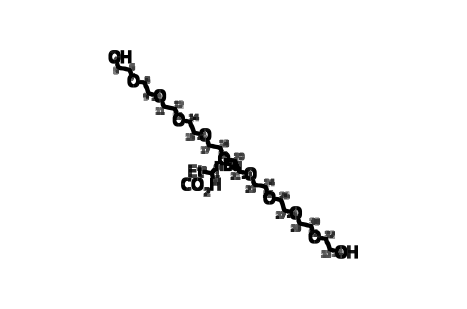 CCCCC(CC)C(=O)O.OCCOCCOCCOCCOCCOCCOCCOCCOCCOCCO